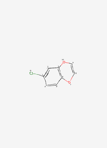 Clc1[c]c2c(cc1)OC=CO2